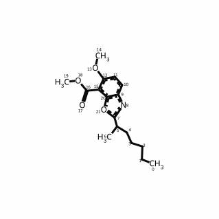 CCCCCC(C)c1nc2ccc(OC)c(C(=O)OC)c2o1